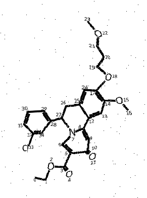 CCOC(=O)c1cn2c(cc1=O)-c1cc(OC)c(OCCCOC)cc1CC2c1cccc(Cl)c1